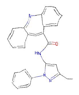 Cc1cc(NC(=O)c2c3ccccc3nc3ccccc23)n(-c2ccccc2)n1